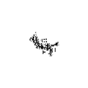 CN1CCN(Cc2ccc(N(C)C(=O)Nc3cc(NC4CC4)c(C#CC4CC4)cn3)nc2C=O)C(=O)C1